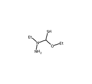 CCOC(S)N(N)CC